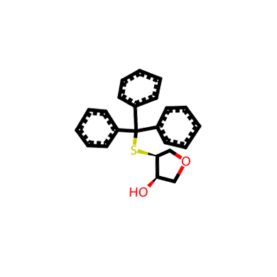 O[C@@H]1COC[C@@H]1SC(c1ccccc1)(c1ccccc1)c1ccccc1